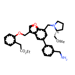 CCOC(=O)Cc1ccccc1OCc1coc2c(CN3CCC[C@@H]3COC)cc(-c3cccc(CN)c3)cc12